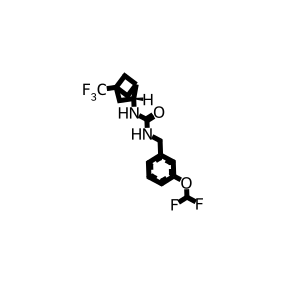 O=C(NCc1cccc(OC(F)F)c1)N[C@@H]1CC2(C(F)(F)F)CC1C2